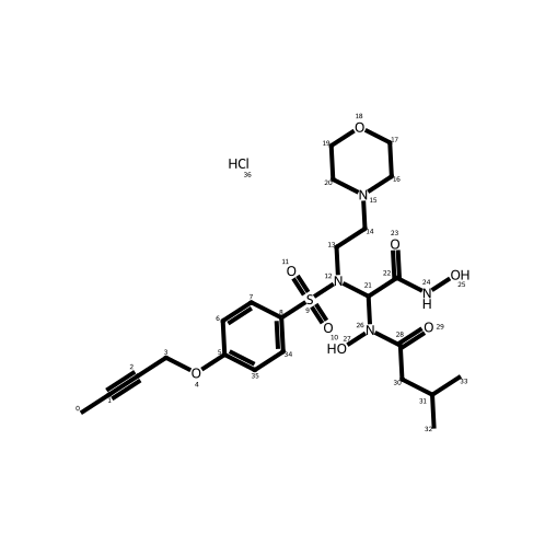 CC#CCOc1ccc(S(=O)(=O)N(CCN2CCOCC2)C(C(=O)NO)N(O)C(=O)CC(C)C)cc1.Cl